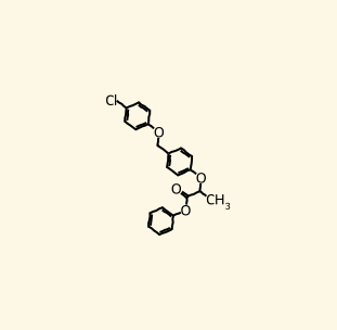 CC(Oc1ccc(COc2ccc(Cl)cc2)cc1)C(=O)Oc1ccccc1